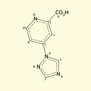 O=C(O)c1cc(-n2cncn2)ccn1